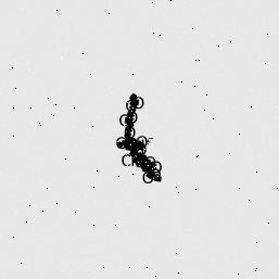 C=CC(=O)OCCOC(=O)CCOCc1cc([N+](=O)[O-])c(C(C)Oc2cc3oc(=O)c(C(=O)OCC)cc3cc2Cl)cc1OC